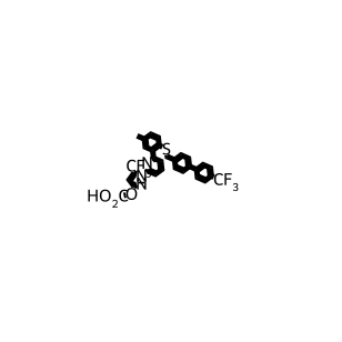 Cc1ccc(SCc2ccc(-c3ccc(C(F)(F)F)cc3)cc2)c(-c2cccc(-n3nc(OC(=O)O)cc3C(F)(F)F)n2)c1